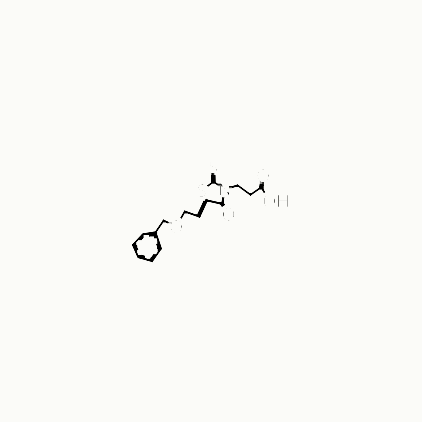 O=C(O)CCN1C(=O)/C(=C/COCc2ccccc2)SC1=S